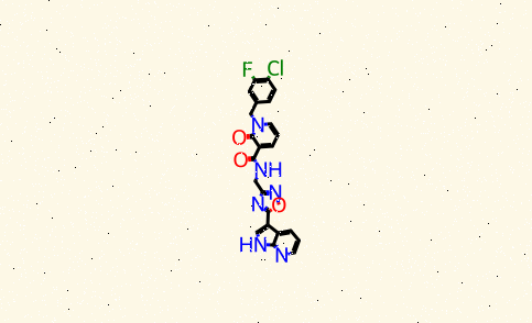 O=C(NCc1noc(-c2c[nH]c3ncccc23)n1)c1cccn(Cc2ccc(Cl)c(F)c2)c1=O